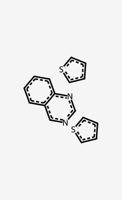 c1ccc2ncncc2c1.c1ccsc1.c1ccsc1